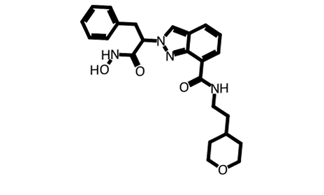 O=C(NCCC1CCOCC1)c1cccc2cn(C(Cc3ccccc3)C(=O)NO)nc12